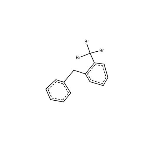 BrC(Br)(Br)c1ccccc1Cc1ccccc1